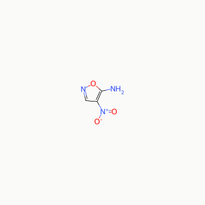 Nc1oncc1[N+](=O)[O-]